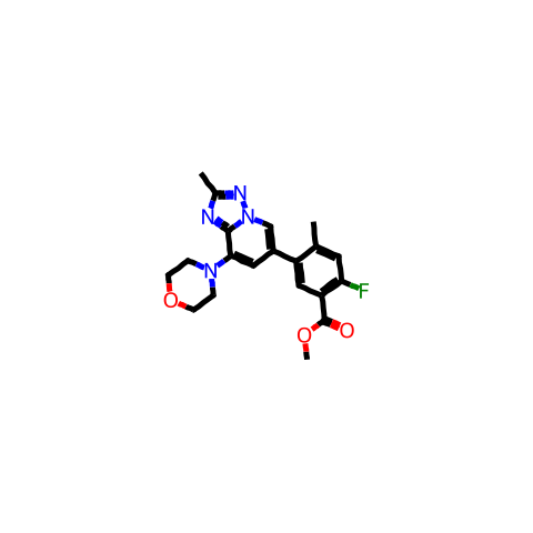 COC(=O)c1cc(-c2cc(N3CCOCC3)c3nc(C)nn3c2)c(C)cc1F